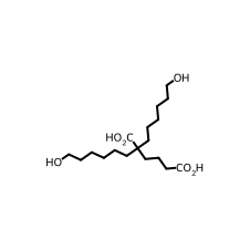 O=C(O)CCCC(CCCCCCO)(CCCCCCO)C(=O)O